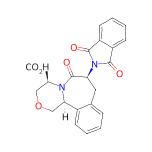 O=C(O)[C@@H]1COC[C@@H]2c3ccccc3C[C@H](N3C(=O)c4ccccc4C3=O)C(=O)N21